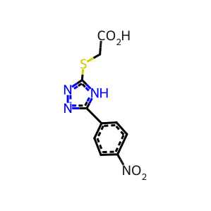 O=C(O)CSc1nnc(-c2ccc([N+](=O)[O-])cc2)[nH]1